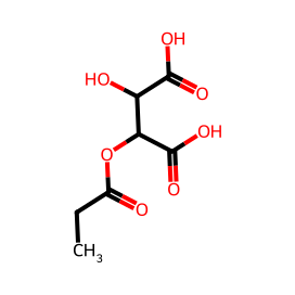 CCC(=O)OC(C(=O)O)C(O)C(=O)O